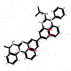 CC(C)N/C(=N/c1cccc(-c2cccc(/N=C(/NC(C)C)P(c3ccccc3)c3ccccc3)c2)c1)P(c1ccccc1)c1ccccc1